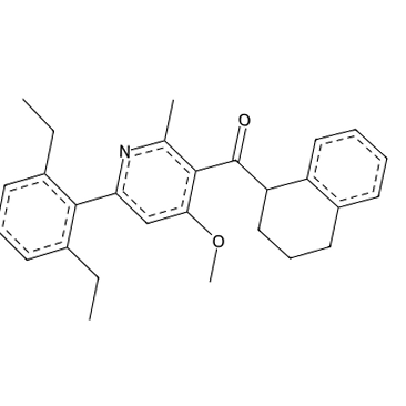 CCc1cccc(CC)c1-c1cc(OC)c(C(=O)C2CCCc3ccccc32)c(C)n1